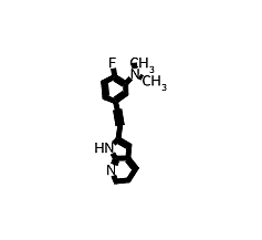 CN(C)c1cc(C#Cc2cc3c([nH]2)=NCCC=3)ccc1F